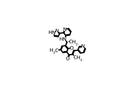 Cc1cc([C@@H](C)Nc2cccnc2-c2cc[nH]n2)c2oc(-c3cccnc3)c(C)c(=O)c2c1